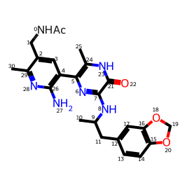 CC(=O)NCc1cc(-c2nc(NC(C)Cc3ccc4c(c3)OCO4)c(=O)[nH]c2C)c(N)nc1C